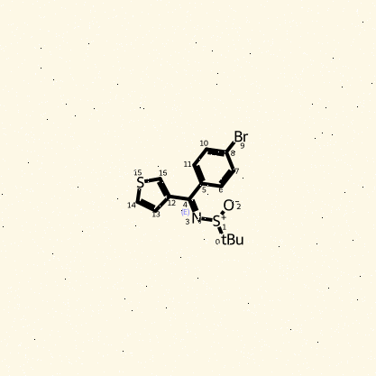 CC(C)(C)[S+]([O-])/N=C(\c1ccc(Br)cc1)c1ccsc1